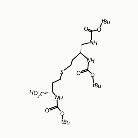 CC(C)(C)OC(=O)NC[C@@H](CCSCC[C@H](NC(=O)OC(C)(C)C)C(=O)O)NC(=O)OC(C)(C)C